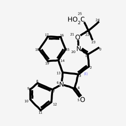 CC(/C=C1/C(=O)N(c2ccccc2)C1c1ccccc1)=NOC(C)(C)C(=O)O